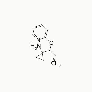 C=CC(Oc1ccccn1)C1(N)CC1